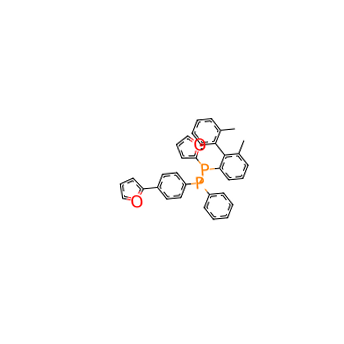 Cc1ccc[c]c1-c1c(C)cccc1[P@](c1ccco1)P(c1ccccc1)c1ccc(-c2ccco2)cc1